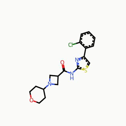 O=C(Nc1nc(-c2ccccc2Cl)cs1)C1CN(C2CCOCC2)C1